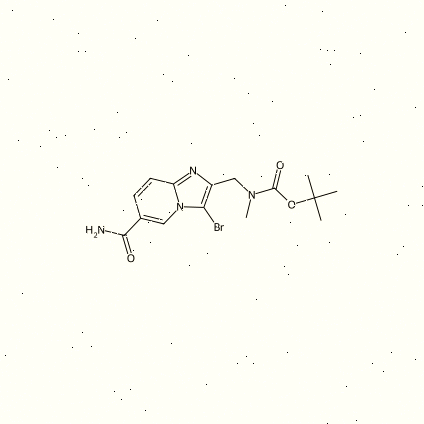 CN(Cc1nc2ccc(C(N)=O)cn2c1Br)C(=O)OC(C)(C)C